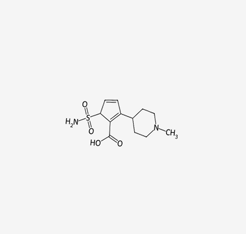 CN1CCC(C2=C(C(=O)O)C(S(N)(=O)=O)C=C2)CC1